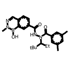 CCC(N(NC(=O)c1ccc2c(c1)B(O)N(C)N=C2)C(=O)c1cc(C)cc(C)c1)C(C)(C)C